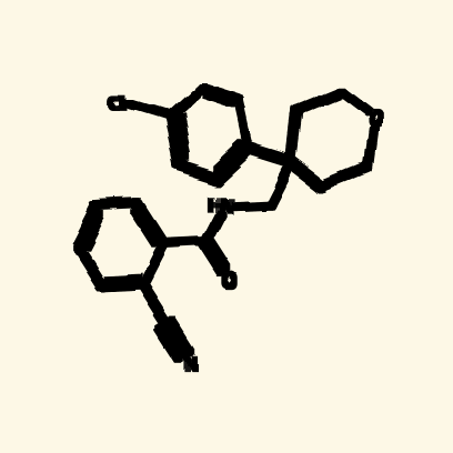 N#Cc1ccccc1C(=O)NCC1(c2ccc(Cl)cc2)CCOCC1